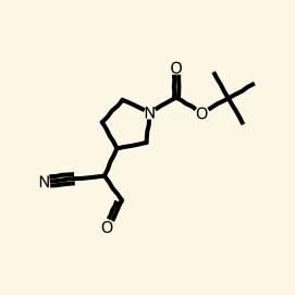 CC(C)(C)OC(=O)N1CCC(C(C#N)C=O)C1